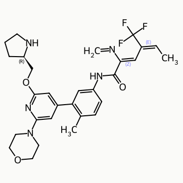 C=N/C(=C\C(=C/C)C(F)(F)F)C(=O)Nc1ccc(C)c(-c2cc(OC[C@H]3CCCN3)nc(N3CCOCC3)c2)c1